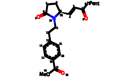 CCCCCC(=O)C=C[C@H]1CCC(=O)N1CCc1ccc(C(=O)OC)cc1